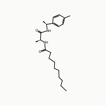 CCCCCCCCCC(=O)N[C@@H](C)C(=O)N[C@@H](C)c1ccc(C)cc1